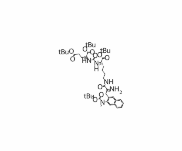 CN(C(=O)OC(C)(C)C)c1cc2ccccc2cc1C[C@@H](N)C(=O)NCCCC[C@H](NC(=O)N[C@@H](CCC(=O)OC(C)(C)C)C(=O)OC(C)(C)C)C(=O)OC(C)(C)C